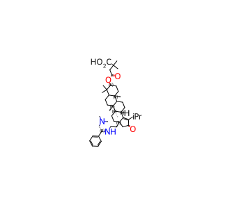 CC(C)C1=C2[C@H]3CCC4[C@@]5(C)CC[C@H](OC(=O)CC(C)(C)C(=O)O)C(C)(C)C5CC[C@@]4(C)[C@]3(C)CC[C@@]2(CCN[C@@H](CN(C)C)c2ccccc2)CC1=O